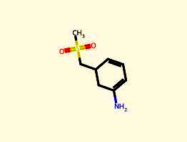 CS(=O)(=O)CC1C=CC=C(N)C1